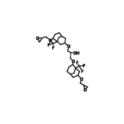 OC(COC1CC2CCC(OCC3CO3)C(C(F)(F)F)(C2)C1)COC1CCC2CC(OCC3CO3)CC1(C(F)(F)F)C2